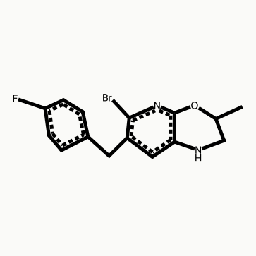 CC1CNc2cc(Cc3ccc(F)cc3)c(Br)nc2O1